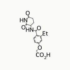 CCc1cc(OCC(=O)O)ccc1C(=O)NC1CCC(=O)NC1=O